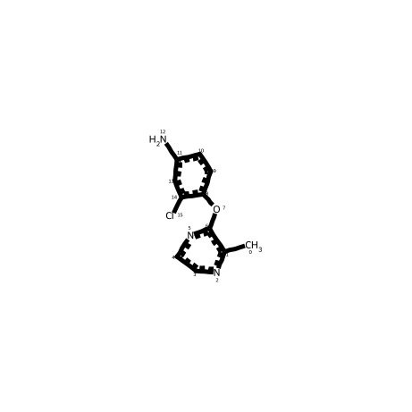 Cc1nccnc1Oc1ccc(N)cc1Cl